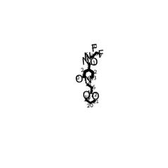 O=c1cc(-c2nnc(C(F)F)o2)ccn1CCC1OCCCO1